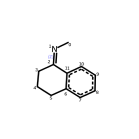 C/N=C1/CCCc2ccccc21